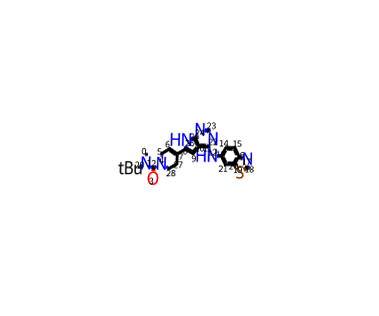 CN(C(=O)N1CC=C(c2cc3c(Nc4ccc5ncsc5c4)ncnc3[nH]2)CC1)C(C)(C)C